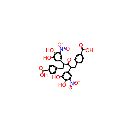 O=C(O)c1ccc(CC(C(=O)C(Cc2ccc(C(=O)O)cc2)c2cc(O)c(O)c([N+](=O)[O-])c2)c2cc(O)c(O)c([N+](=O)[O-])c2)cc1